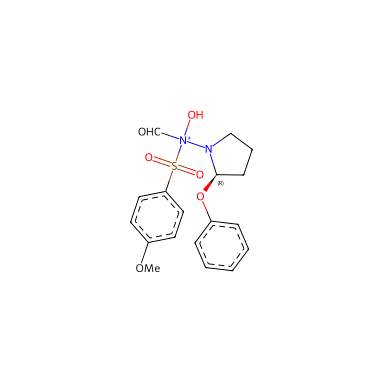 COc1ccc(S(=O)(=O)[N+](O)(C=O)N2CCC[C@H]2Oc2ccccc2)cc1